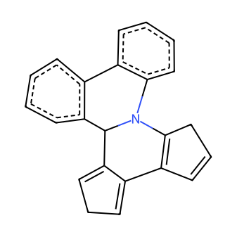 C1=CC2=C(C1)N1c3ccccc3-c3ccccc3C1C1=CCC=C12